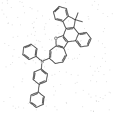 CC1(C)c2ccccc2-c2c1c1ccccc1c1c3c(oc21)C=C(N(c1ccccc1)c1ccc(-c2ccccc2)cc1)CC=C3